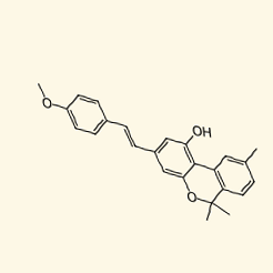 COc1ccc(/C=C/c2cc(O)c3c(c2)OC(C)(C)c2ccc(C)cc2-3)cc1